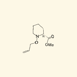 C=CCON1CCCC[C@@H]1C(=O)OC